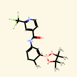 CC1CC=C(NC(=O)c2ccnc(C(F)(F)F)c2)C=C1B1OC(C)(C)C(C)(C)O1